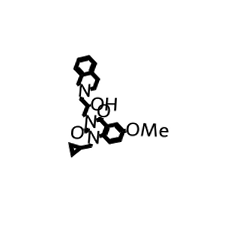 COc1ccc2c(c1)c(=O)n(C[C@H](O)CN1CCc3ccccc3C1)c(=O)n2CC1CC1